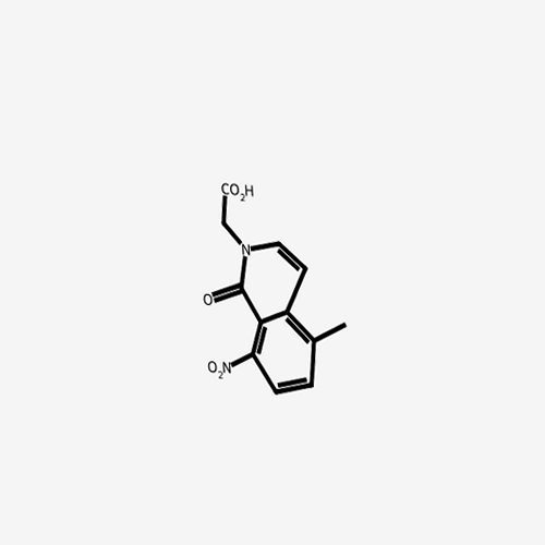 Cc1ccc([N+](=O)[O-])c2c(=O)n(CC(=O)O)ccc12